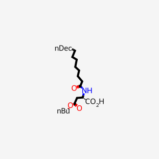 CCCCCCCCCCCCCCCCCC(=O)N[C@@H](CC(=O)OCCCC)C(=O)O